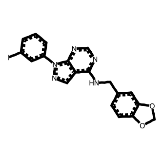 Ic1cccc(-n2ncc3c(NCc4ccc5c(c4)OCO5)ncnc32)c1